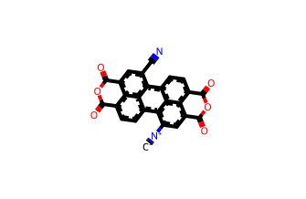 [C-]#[N+]c1cc2c3c(ccc4c5c(C#N)cc6c7c(ccc(c1c34)c75)C(=O)OC6=O)C(=O)OC2=O